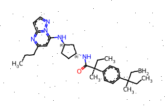 BCC(C)(CC)c1ccc(C(C)(CC)C(=O)N[C@@H]2CC[C@@H](Nc3cc(CCC)nc4ccnn34)C2)cc1